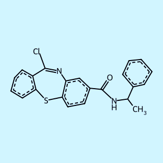 CC(NC(=O)c1ccc2c(c1)N=C(Cl)c1ccccc1S2)c1ccccc1